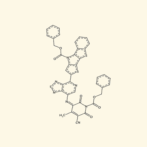 CC1=C(C#N)C(=O)N(C(=O)OCc2ccccc2)C(=O)/C1=N\c1cnc(-c2cc3c(s2)c2sc4ccccc4c2n3C(=O)OCc2ccccc2)c2nsnc12